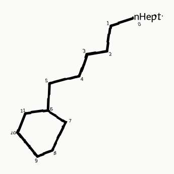 CCCCCC[CH]CCCCCC1CCCCC1